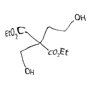 CCOC(=O)C(CO)(CCO)C(=O)OCC